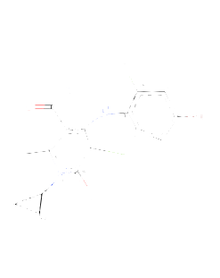 Cc1c(C(N)=O)c(Nc2ccc(Br)cc2F)c(F)c(=O)n1C1CC1